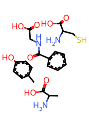 CC(N)C(=O)O.Cc1ccc(O)cc1.NC(CS)C(=O)O.O=C(O)CNC(=O)c1ccccc1